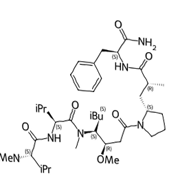 CC[C@H](C)[C@@H]([C@@H](CC(=O)N1CCC[C@H]1C[C@@H](C)C(=O)N[C@@H](Cc1ccccc1)C(N)=O)OC)N(C)C(=O)[C@@H](NC(=O)[C@@H](NC)C(C)C)C(C)C